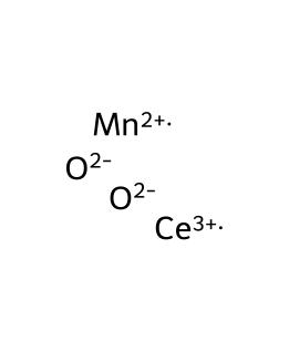 [Ce+3].[Mn+2].[O-2].[O-2]